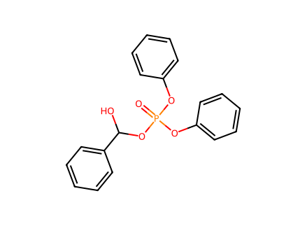 O=P(Oc1ccccc1)(Oc1ccccc1)OC(O)c1ccccc1